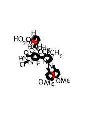 COc1ccc(CN(Cc2ccc(OC)cc2)c2cc(C)c(C(F)(F)F)c(-c3c(Cl)c(O[C@@H](C)[C@H]4NC[C@H]5CC[C@@H]4CN5C(=O)O)c4c(=O)[nH]c(Cl)nc4c3F)n2)cc1